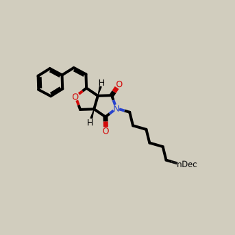 CCCCCCCCCCCCCCCCN1C(=O)[C@@H]2COC(/C=C\c3ccccc3)[C@@H]2C1=O